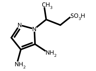 CC(CS(=O)(=O)O)n1ncc(N)c1N